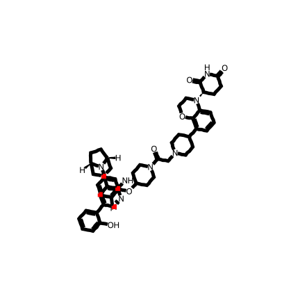 Nc1nnc(-c2ccccc2O)cc1N1C[C@H]2CC[C@@H](C1)N2c1ccc(F)c(OC2CCN(C(=O)CN3CCC(c4cccc5c4OCCN5[C@H]4CCC(=O)NC4=O)CC3)CC2)c1